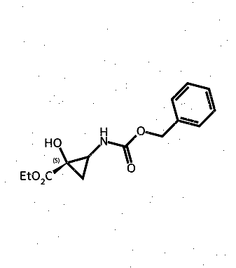 CCOC(=O)[C@]1(O)CC1NC(=O)OCc1ccccc1